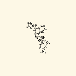 COc1cc(N(C)C)ccc1S(=O)(=O)Nc1noc2cc(Cn3cccn3)c3c(c12)OCCC3